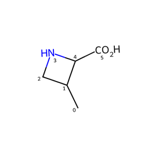 CC1CNC1C(=O)O